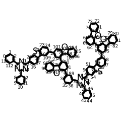 c1ccc(-c2nc(-c3ccccc3)nc(-c3ccc4c(c3)sc3ccc(-c5cc(-c6ccc(-c7cccc(-c8nc(-c9ccccc9)nc(-c9ccc%10c(c9)sc9ccc(-c%11cc(-c%12cccc%13c%12oc%12ccccc%12%13)c%12oc%13ccccc%13c%12c%11)cc9%10)n8)c7)c7oc8ccccc8c67)c6c(c5)oc5ccccc56)cc34)n2)cc1